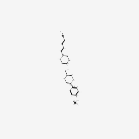 N#CC=CC=CC1CCC(OCC2CCC(c3ccc(OC(F)(F)F)cc3)CC2)CC1